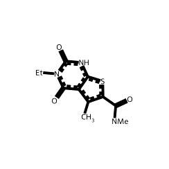 CCn1c(=O)[nH]c2sc(C(=O)NC)c(C)c2c1=O